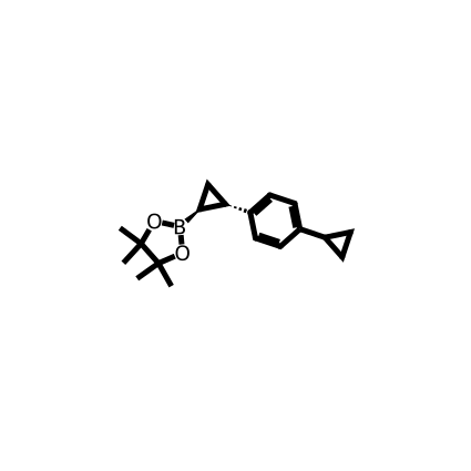 CC1(C)OB([C@H]2C[C@@H]2c2ccc(C3CC3)cc2)OC1(C)C